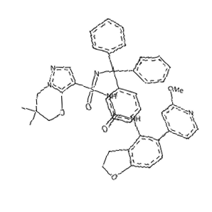 COc1cc(-c2ccc3c(c2NC(=O)NS(=O)(=NC(c2ccccc2)(c2ccccc2)c2ccccc2)c2cnn4c2OCC(C)(C)C4)CCO3)ccn1